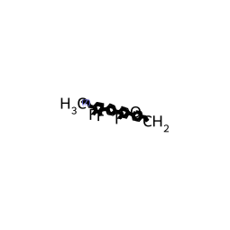 C=CC1CCC(c2ccc(-c3ccc(-c4ccc(C/C=C\C)c(F)c4F)cc3)c(F)c2)OC1